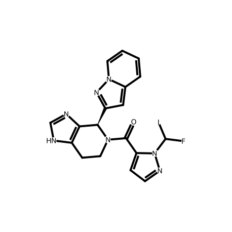 O=C(c1ccnn1C(F)I)N1CCc2[nH]cnc2[C@H]1c1cc2ccccn2n1